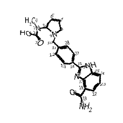 CN(C(=O)O)C1CCCN1Cc1ccc(-c2nc3c(C(N)=O)cccc3[nH]2)cc1